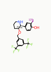 Oc1ccc([C@@H]2NCCC[C@@H]2OCc2cc(C(F)(F)F)cc(C(F)(F)F)c2)cc1[125I]